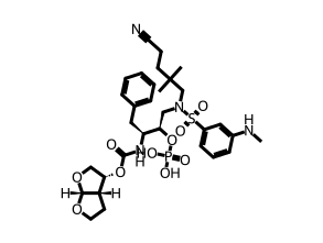 CNc1cccc(S(=O)(=O)N(C[C@@H](OP(=O)(O)O)[C@H](Cc2ccccc2)NC(=O)O[C@H]2CO[C@H]3OCC[C@H]32)CC(C)(C)CCC#N)c1